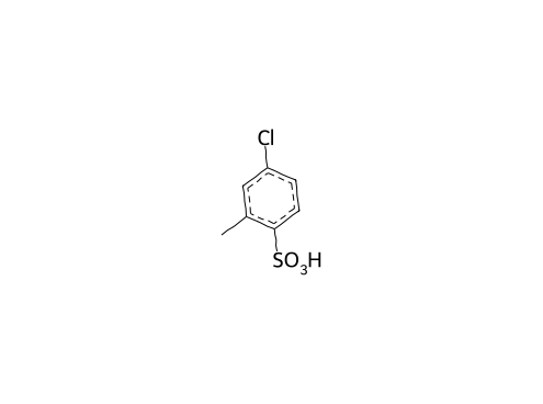 Cc1cc(Cl)ccc1S(=O)(=O)O